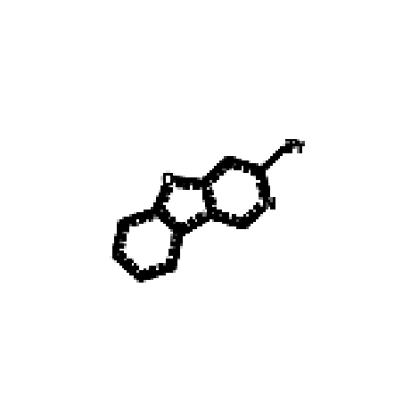 CC(C)c1cc2oc3ccccc3c2cn1